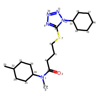 CCN(C(=O)CCCSc1nnnn1C1CCCCC1)C1CCC(C)CC1